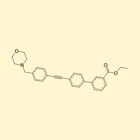 CCOC(=O)c1cccc(-c2ccc(C#Cc3ccc(CN4CCOCC4)cc3)cc2)c1